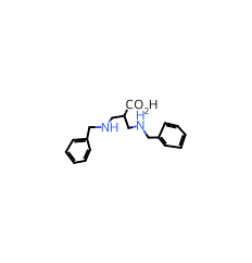 O=C(O)C(CNCc1ccccc1)CNCc1ccccc1